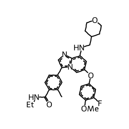 CCNC(=O)c1ccc(-c2cnc3c(NCC4CCOCC4)cc(Oc4ccc(OC)c(F)c4)cn23)cc1C